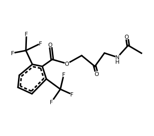 CC(=O)NCC(=O)COC(=O)c1c(C(F)(F)F)cccc1C(F)(F)F